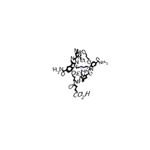 CCn1nc(C)cc1C(=O)Nc1nc2cc(C(N)=O)cc(OCCCOC)c2n1C/C=C/Cn1c2nc(-c3cc(C)nn3CC)ncc2c2cc(C(N)=O)cc(OCCCNC(=O)CCCC(=O)O)c21